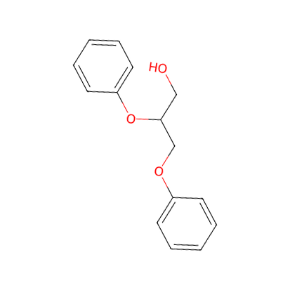 OCC(COc1ccccc1)Oc1ccccc1